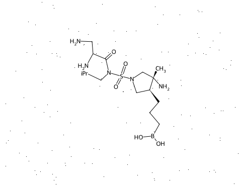 CC(C)CN(C(=O)C(N)CN)S(=O)(=O)N1C[C@H](CCCB(O)O)[C@@](C)(N)C1